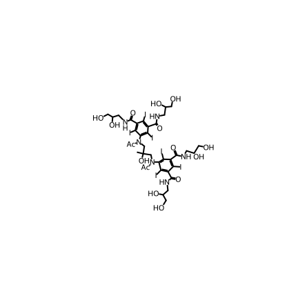 CC(=O)N(CC(C)(O)CN(C(C)=O)c1c(I)c(C(=O)NCC(O)CO)c(I)c(C(=O)NCC(O)CO)c1I)c1c(I)c(C(=O)NCC(O)CO)c(I)c(C(=O)NCC(O)CO)c1I